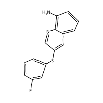 Nc1cccc2cc(Sc3cccc(F)c3)cnc12